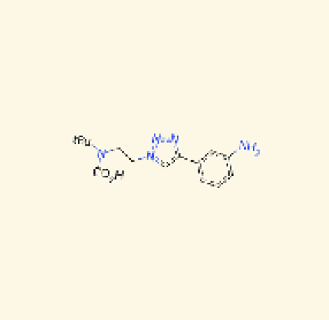 CC(C)(C)N(CCn1cc(-c2cccc(N)c2)nn1)C(=O)O